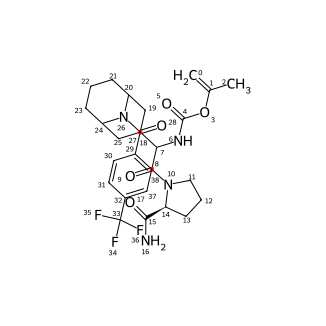 C=C(C)OC(=O)NC(C(=O)N1CCC[C@H]1C(N)=O)C1CC2CCCC(C1)N2C(=O)c1ccc(C(F)(F)F)cc1